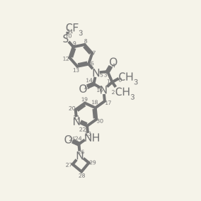 CC1(C)C(=O)N(c2ccc(SC(F)(F)F)cc2)C(=O)N1Cc1ccnc(NC(=O)N2CCC2)c1